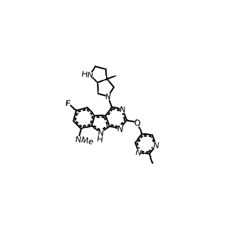 CNc1cc(F)cc2c1[nH]c1nc(Oc3cnc(C)nc3)nc(N3CC4NCCC4(C)C3)c12